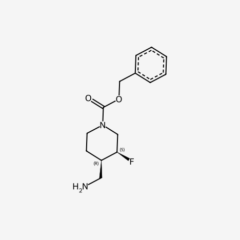 NC[C@H]1CCN(C(=O)OCc2ccccc2)C[C@H]1F